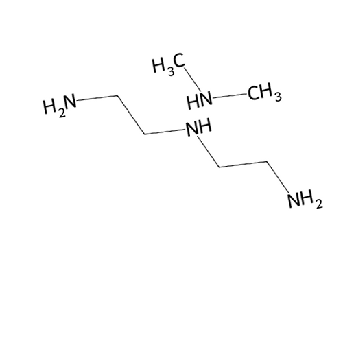 CNC.NCCNCCN